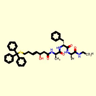 CC(C)[C@@H](NC(=O)[C@@H](Cc1ccccc1)NC(=O)[C@@H](C)NC(=O)C[C@@H](O)C=CCCSC(c1ccccc1)(c1ccccc1)c1ccccc1)C(=O)NCC(=O)O